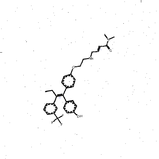 CC/C(=C(/c1ccc(O)cc1)c1ccc(OCCNC/C=C/C(=O)N(C)C)cc1)c1cccc(C(F)(F)F)c1